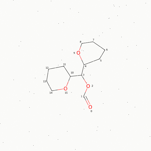 O=[C]OC(C1CCCCO1)C1CCCCO1